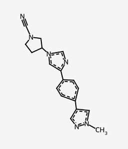 Cn1cc(-c2ccc(-c3cn(C4CCN(C#N)C4)cn3)cc2)cn1